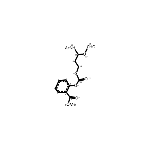 COC(=O)c1ccccc1OC(=O)SCCC(NC(C)=O)OC=O